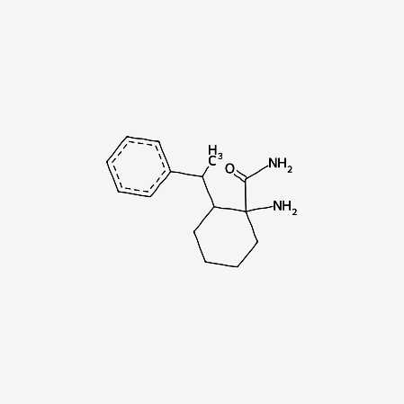 CC(c1ccccc1)C1CCCCC1(N)C(N)=O